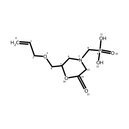 C=CCOCC1CN(CP(=O)(O)O)CC(=O)O1